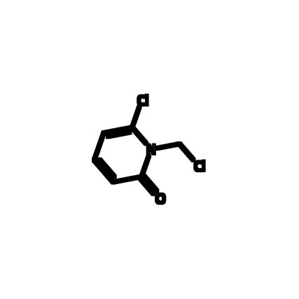 O=c1cccc(Cl)n1CCl